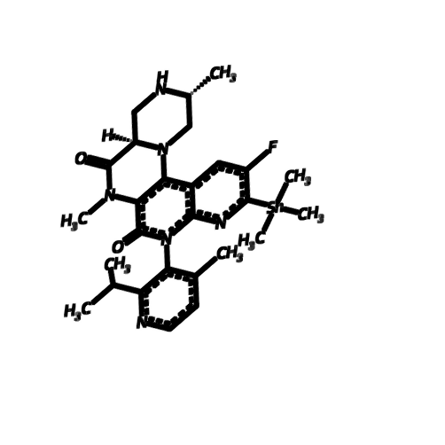 Cc1ccnc(C(C)C)c1-n1c(=O)c2c(c3cc(F)[c]([Sn]([CH3])([CH3])[CH3])nc31)N1C[C@@H](C)NC[C@@H]1C(=O)N2C